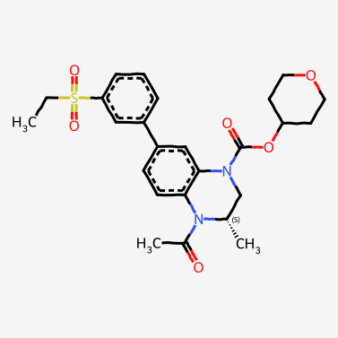 CCS(=O)(=O)c1cccc(-c2ccc3c(c2)N(C(=O)OC2CCOCC2)C[C@H](C)N3C(C)=O)c1